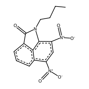 CCCCN1C(=O)c2cccc3c([N+](=O)[O-])cc([N+](=O)[O-])c1c23